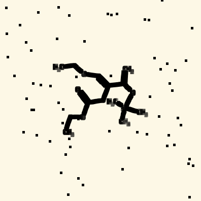 C=C(O[Si](C)(C)C)C(=COCC)CC(=O)OCC